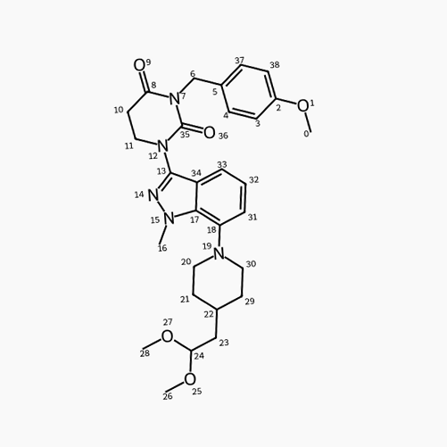 COc1ccc(CN2C(=O)CCN(c3nn(C)c4c(N5CCC(CC(OC)OC)CC5)cccc34)C2=O)cc1